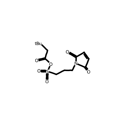 CC(C)(C)CC(=O)OS(=O)(=O)CCCN1C(=O)C=CC1=O